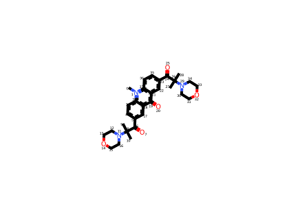 Cn1c2ccc(C(=O)C(C)(C)N3CCOCC3)cc2c(=O)c2cc(C(=O)C(C)(C)N3CCOCC3)ccc21